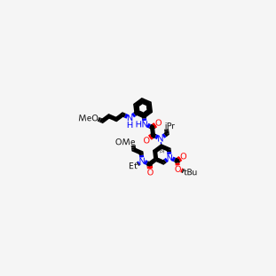 CCN(CCOC)C(=O)C1C[C@H](N(CC(C)C)C(=O)C(=O)Nc2ccccc2NCCCCOC)CN(C(=O)OC(C)(C)C)C1